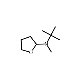 CN(C1CCCO1)C(C)(C)C